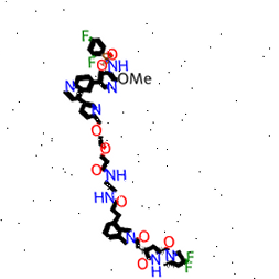 COc1ncc(-c2ccc3nccc(-c4ccc(COCCOCCC(=O)NCCNC(=O)CCc5cccc6c5CN(C(=O)C[C@@H]5C[C@@H](C(=O)N7CC(F)(F)C[C@H]7C)NC5=O)C6)nc4)c3c2)cc1NS(=O)(=O)c1ccc(F)cc1F